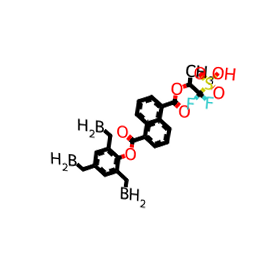 BCc1cc(CB)c(OC(=O)c2cccc3c(C(=O)OC(C)C(F)(F)S(=O)(=O)O)cccc23)c(CB)c1